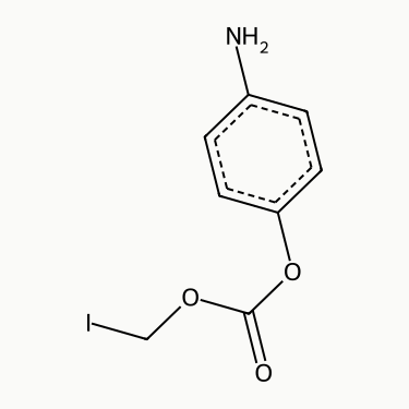 Nc1ccc(OC(=O)OCI)cc1